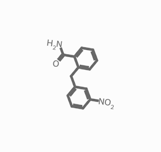 NC(=O)c1ccccc1Cc1cccc([N+](=O)[O-])c1